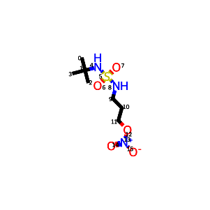 CC(C)(C)NS(=O)(=O)NCCCO[N+](=O)[O-]